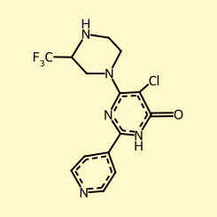 O=c1[nH]c(-c2ccncc2)nc(N2CCNC(C(F)(F)F)C2)c1Cl